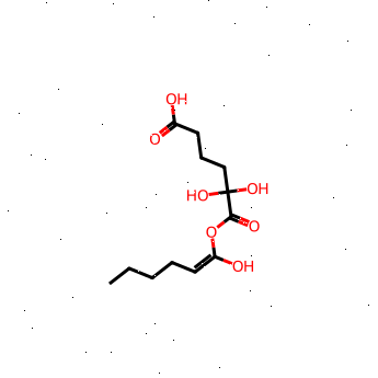 CCCCC=C(O)OC(=O)C(O)(O)CCCC(=O)O